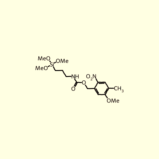 COc1cc(COC(=O)NCCC[Si](OC)(OC)OC)c([N+](=O)[O-])cc1C